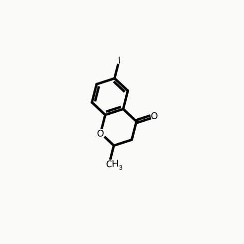 CC1CC(=O)c2cc(I)ccc2O1